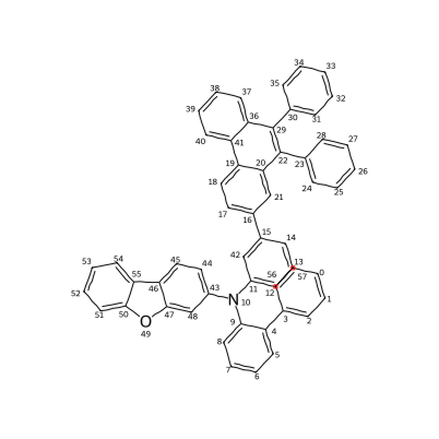 c1ccc(-c2ccccc2N(c2cccc(-c3ccc4c(c3)c(-c3ccccc3)c(-c3ccccc3)c3ccccc34)c2)c2ccc3c(c2)oc2ccccc23)cc1